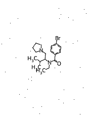 CCN(C(=O)c1ccc(Br)cc1)C(CN1CCCC1)C(C)C